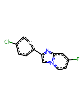 Fc1ccn2cc(-c3ccc(Cl)cc3)nc2c1